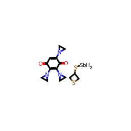 O=C1C=C(N2CC2)C(=O)C(N2CC2)=C1N1CC1.[SbH2][S]C1CSC1